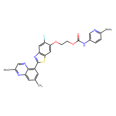 COc1cnc2c(-c3nc4cc(F)c(OCCOC(=O)Nc5ccc(NC(C)=O)nc5)cc4s3)cc(C)cc2n1